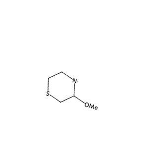 COC1CSCC[N]1